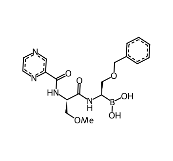 COC[C@@H](NC(=O)c1cnccn1)C(=O)N[C@@H](COCc1ccccc1)B(O)O